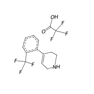 FC(F)(F)c1ccccc1C1=CCNCC1.O=C(O)C(F)(F)F